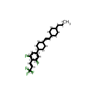 CCCC1CCC(/C=C/C2CCC(c3cc(F)c(/C=C/C(F)(F)F)c(F)c3)CC2)CC1